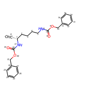 O=[C][C@H](CCCCNC(=O)OCc1ccccc1)NC(=O)OCc1ccccc1